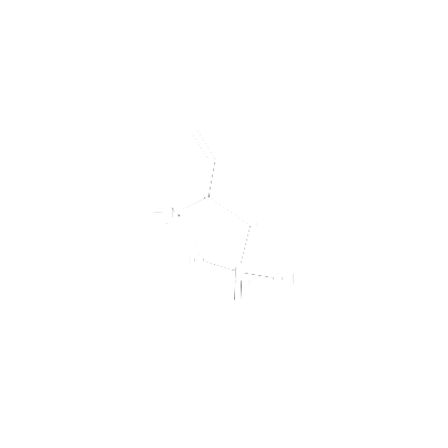 C=C[C](N)CP(=O)(O)O